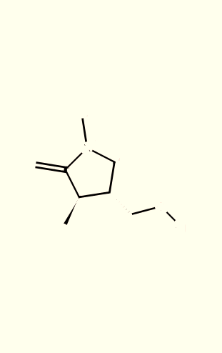 [2H]OC[C@H]1CN(C)C(=C)[C@@H]1C